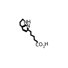 O=C(O)CCCCCc1ccc2c(n1)NCCC2